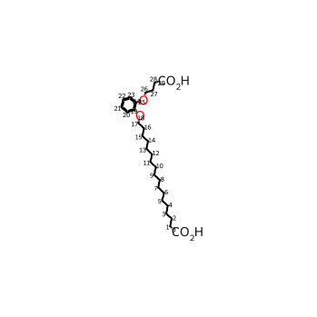 O=C(O)CCCCCCCCCCCCCCCCCOc1ccccc1OCCCC(=O)O